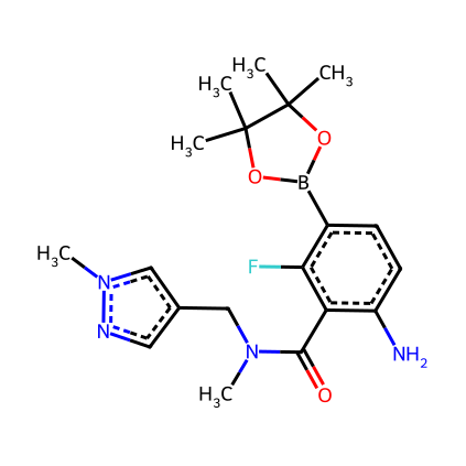 CN(Cc1cnn(C)c1)C(=O)c1c(N)ccc(B2OC(C)(C)C(C)(C)O2)c1F